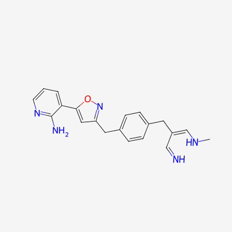 CN/C=C(\C=N)Cc1ccc(Cc2cc(-c3cccnc3N)on2)cc1